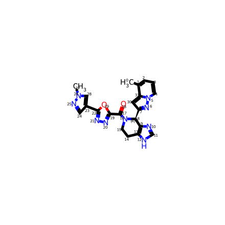 Cc1cccn2nc([C@H]3c4nc[nH]c4CCN3C(=O)c3nnc(-c4cnn(C)c4)o3)cc12